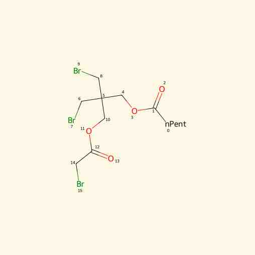 CCCCCC(=O)OCC(CBr)(CBr)COC(=O)CBr